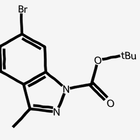 Cc1nn(C(=O)OC(C)(C)C)c2cc(Br)ccc12